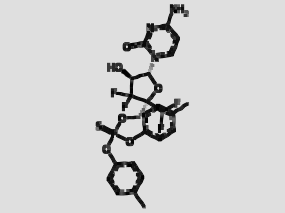 Cc1ccc(OP(=S)(OC[C@@]2(C(F)F)O[C@@H](n3ccc(N)nc3=O)[C@H](O)C2(F)F)Oc2ccc(C)cc2)cc1